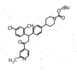 Cc1cc(C(=O)CC(c2ccc(C3CCN(C(=O)OC(C)(C)C)CC3)cc2)c2ccc(Cl)cc2C)ccn1